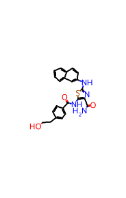 NC(=O)c1nc(Nc2ccc3ccccc3c2)sc1NC(=O)c1ccc(CCO)cc1